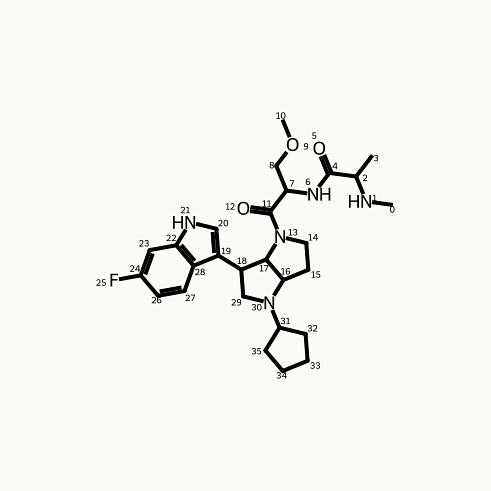 CNC(C)C(=O)NC(COC)C(=O)N1CCC2C1C(c1c[nH]c3cc(F)ccc13)CN2C1CCCC1